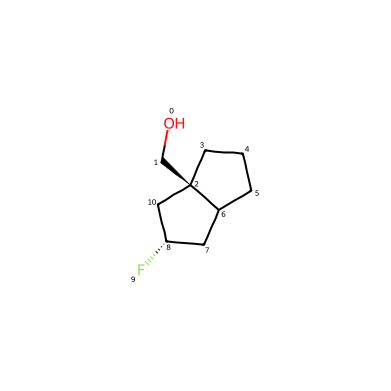 OC[C@@]12CCCC1C[C@H](F)C2